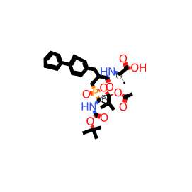 CC(=O)O[C@@H](OP(=O)(CC(Cc1ccc(-c2ccccc2)cc1)C(=O)N[C@@H](C)C(=O)O)[C@H](C)NC(=O)OC(C)(C)C)C(C)C